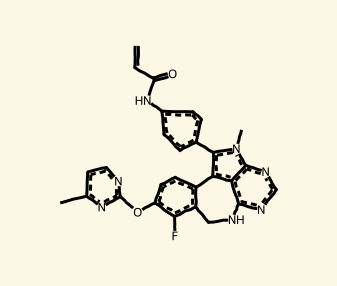 C=CC(=O)Nc1ccc(-c2c3c4c(ncnc4n2C)NCc2c-3ccc(Oc3nccc(C)n3)c2F)cc1